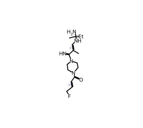 CC[C@@](C)(N)N/C=C(\C)C(=N)N1CCN(C(=O)/C=C/CF)CC1